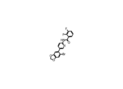 O=C(Nc1ccc(-c2cc3c(cc2Br)OCO3)cn1)c1cccc(F)c1F